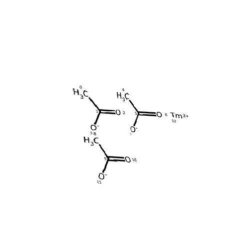 CC(=O)[O-].CC(=O)[O-].CC(=O)[O-].[Tm+3]